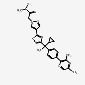 CN(C)C(=O)Cn1cc(-c2nc(C(C)(c3ccc(-c4ncc(N)nc4N)cc3)C3CC3)no2)cn1